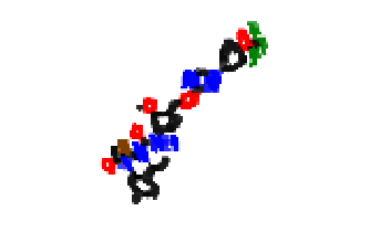 CCCc1ccc(C)cc1N1C(=O)CSC1=NC(=O)Nc1ccc(COc2ncn(-c3ccc(OC(F)(F)F)cc3)n2)c(OC)c1